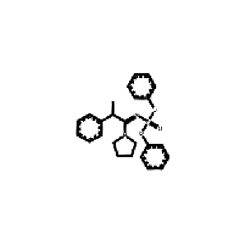 CC(C(=NP(=O)(Oc1ccccc1)Oc1ccccc1)N1CCCC1)c1ccccc1